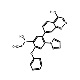 Nc1cnnc2cc(-c3cc(B(O)OC=O)c(Oc4ccccc4)cc3-n3cccn3)ccc12